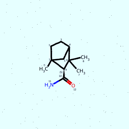 CC12CCC(C1)C(C)(C)[C@H]2C(N)=O